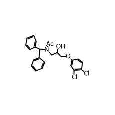 CC(=O)N(CC(O)COc1ccc(Cl)c(Cl)c1)C(c1ccccc1)c1ccccc1